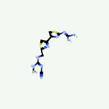 CNC(=NC#N)NCc1nc(-c2csc(N=C(N)N)n2)cs1